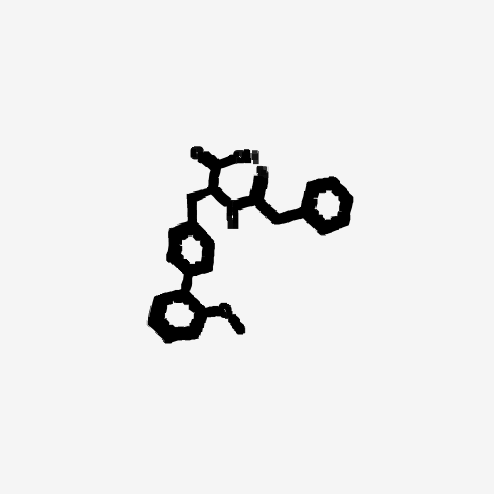 COc1ccccc1-c1ccc(C[C@H](NC(=S)Cc2ccccc2)C(=O)O)cc1